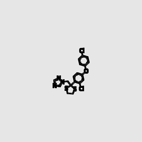 Clc1ccc(Oc2ccc(C3(Cn4cncn4)SCCS3)c(Cl)c2)cc1